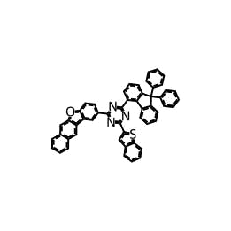 c1ccc(C2(c3ccccc3)c3ccccc3-c3c(-c4nc(-c5ccc6oc7cc8ccccc8cc7c6c5)nc(-c5cc6ccccc6s5)n4)cccc32)cc1